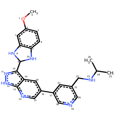 COc1ccc2c(c1)NC(c1n[nH]c3ncc(-c4cncc(CNC(C)C)c4)cc13)N2